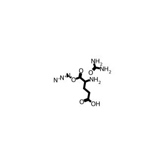 NC(N)=O.[N-]=[N+]=NOC(=O)C(N)CCC(=O)O